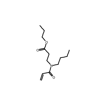 C=CC(=O)N(CCCC)CCC(=O)OCCC